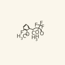 COc1c(F)cccc1[C@@H](C)C[C@@](O)(C=O)C(F)(F)F